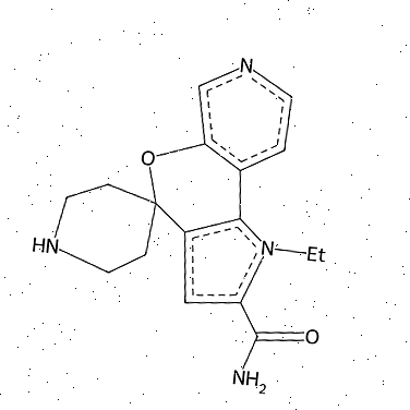 CCn1c(C(N)=O)cc2c1-c1ccncc1OC21CCNCC1